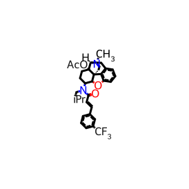 CC(=O)O[C@@]12CCC(N(CC(C)C)C(=O)/C=C/c3cccc(C(F)(F)F)c3)C3Oc4cccc5c4[C@@]31CCN(C)[C@@H]2C5